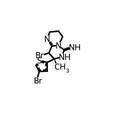 C[C@]1(c2cc(Br)cs2)NC(=N)N2CCCN=C2C1Br